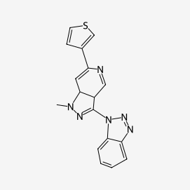 CN1N=C(n2nnc3ccccc32)C2C=NC(c3ccsc3)=CC21